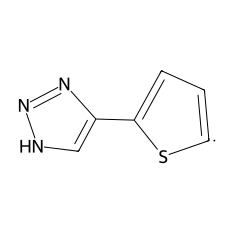 [c]1ccc(-c2c[nH]nn2)s1